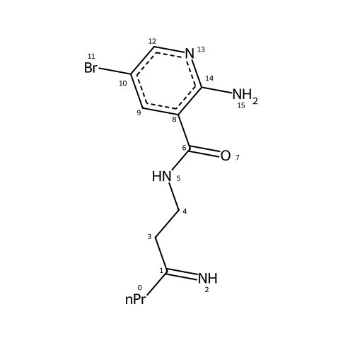 CCCC(=N)CCNC(=O)c1cc(Br)cnc1N